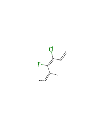 C=C/C(Cl)=C(F)\C(C)=C/C